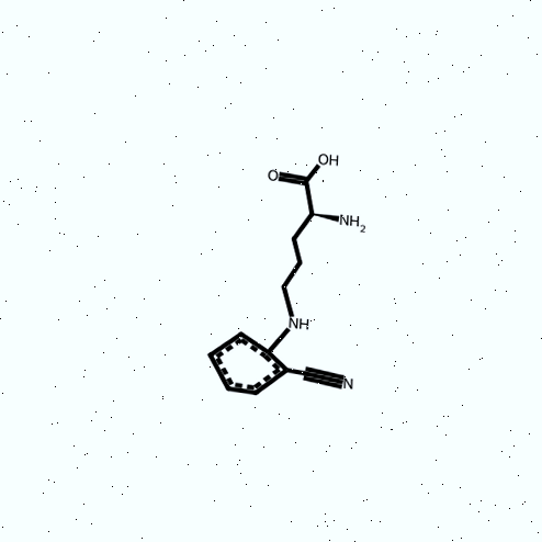 N#Cc1ccccc1NCCC[C@H](N)C(=O)O